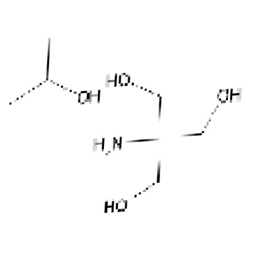 CC(C)O.NC(CO)(CO)CO